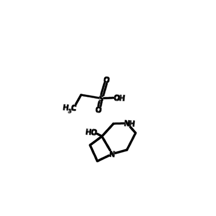 CCS(=O)(=O)O.OC12CCN1CCNC2